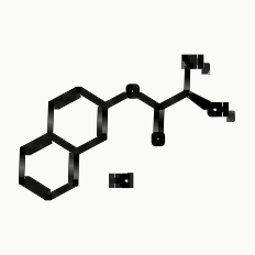 C[C@H](N)C(=O)Oc1ccc2ccccc2c1.Cl